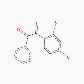 C=C(C(=O)c1ccccc1)c1ccc(Cl)cc1Cl